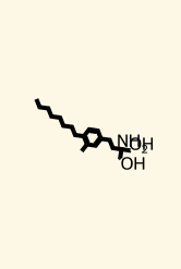 CCCCCCCCc1ccc(CCC(N)(CO)CO)cc1C